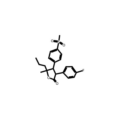 CCCC1(C)OC(=O)C(c2ccc(F)cc2)C1c1ccc(S(C)(=O)=O)cc1